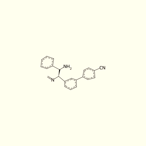 C=N[C@H](c1cccc(-c2ccc(C#N)cc2)c1)C(N)c1ccccc1